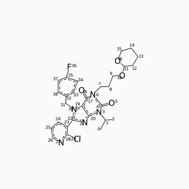 CC(C)n1c(=O)n(CCCOC2CCCCO2)c(=O)c2c1nc(-c1cccnc1Cl)n2Cc1ccc(F)cc1